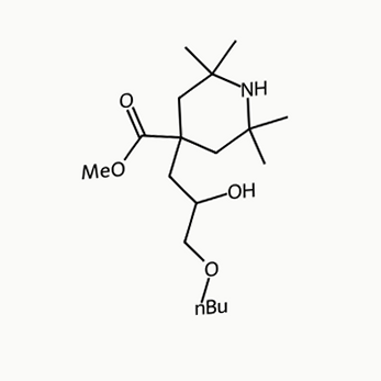 CCCCOCC(O)CC1(C(=O)OC)CC(C)(C)NC(C)(C)C1